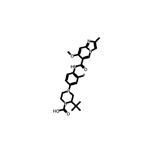 COc1cc2nc(C)cn2cc1C(=O)Nc1ccc(N2CCN(C(=O)O)C(C(C)(C)C)C2)cc1F